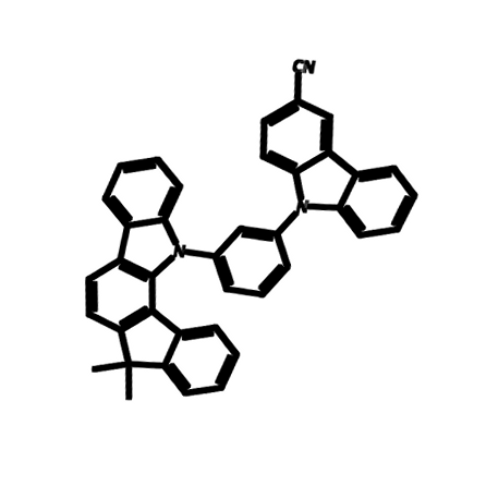 CC1(C)c2ccccc2-c2c1ccc1c3ccccc3n(-c3cccc(-n4c5ccccc5c5cc(C#N)ccc54)c3)c21